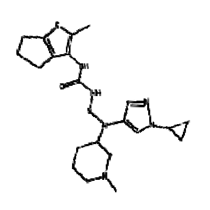 Cc1sc2c(c1NC(=O)NSN(c1cnn(C3CC3)c1)C1CCCN(C)C1)CCC2